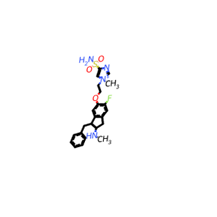 CNC1Cc2cc(F)c(OCC[N+]3(C)C=NC(S(N)(=O)=O)=C3)cc2C1Cc1ccccc1